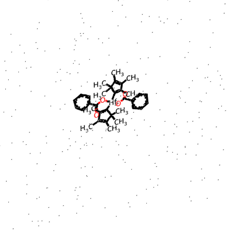 CC1=C(C)C(C)(C)[C]([Hf]([O]C(=O)c2ccccc2)([O]C(=O)c2ccccc2)[C]2=C(C)C(C)=C(C)C2(C)C)=C1C